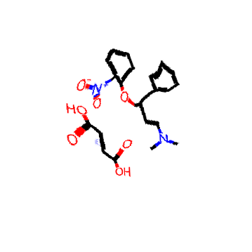 CN(C)CCC(Oc1ccccc1[N+](=O)[O-])c1ccccc1.O=C(O)/C=C/C(=O)O